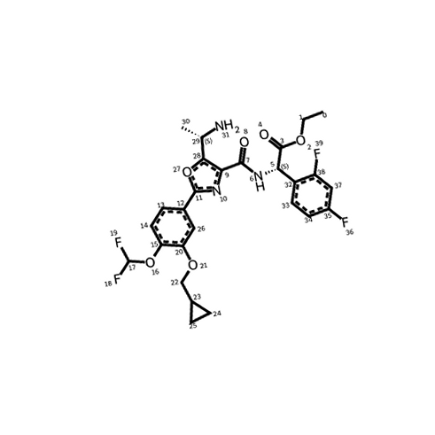 CCOC(=O)[C@@H](NC(=O)c1nc(-c2ccc(OC(F)F)c(OCC3CC3)c2)oc1[C@H](C)N)c1ccc(F)cc1F